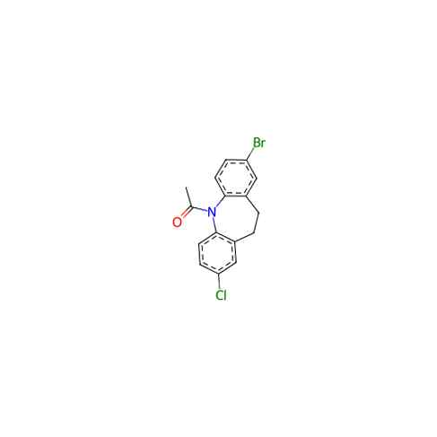 CC(=O)N1c2ccc(Cl)cc2CCc2cc(Br)ccc21